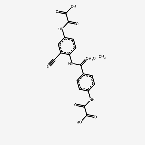 N#Cc1cc(NC(=O)C(=O)O)ccc1NC(=O)c1ccc(NC(=O)C(=O)O)cc1.O.O